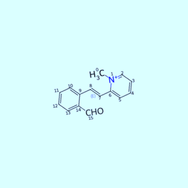 C[n+]1ccccc1/C=C/c1ccccc1C=O